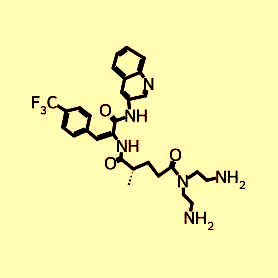 C[C@@H](CCC(=O)N(CCN)CCN)C(=O)N/C(=C/c1ccc(C(F)(F)F)cc1)C(=O)Nc1cnc2ccccc2c1